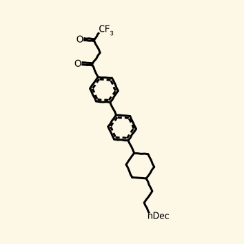 CCCCCCCCCCCCC1CCC(c2ccc(-c3ccc(C(=O)CC(=O)C(F)(F)F)cc3)cc2)CC1